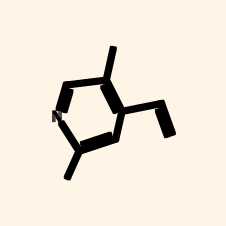 C=Cc1cc(C)ncc1C